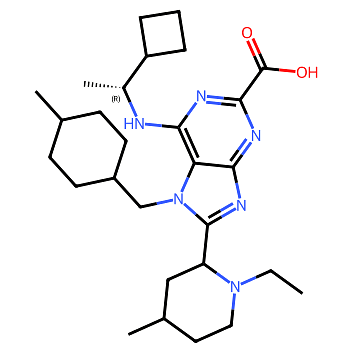 CCN1CCC(C)CC1c1nc2nc(C(=O)O)nc(N[C@H](C)C3CCC3)c2n1CC1CCC(C)CC1